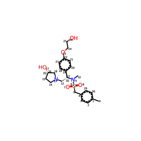 Cc1ccc(CS(=O)(=O)N(C)[C@H](CN2CC[C@H](O)C2)c2ccc(OCCO)cc2)cc1